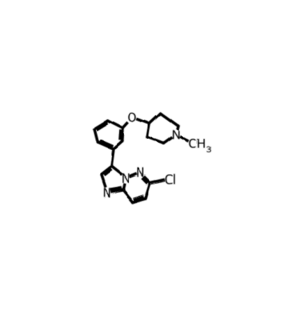 CN1CCC(Oc2cccc(-c3cnc4ccc(Cl)nn34)c2)CC1